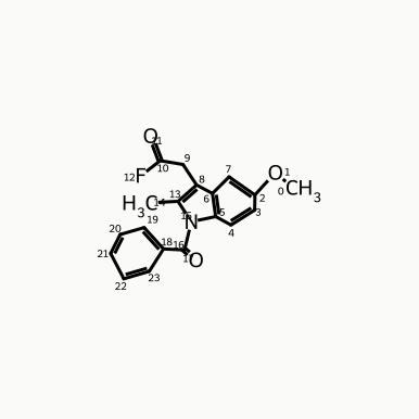 COc1ccc2c(c1)c(CC(=O)F)c(C)n2C(=O)c1ccccc1